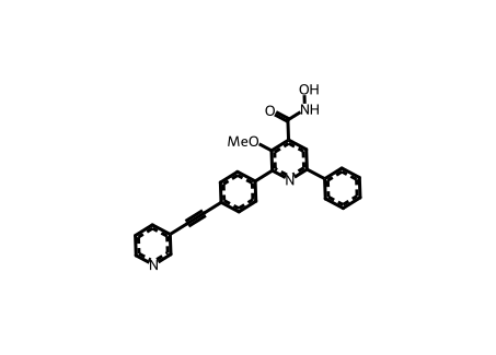 COc1c(C(=O)NO)cc(-c2ccccc2)nc1-c1ccc(C#Cc2cccnc2)cc1